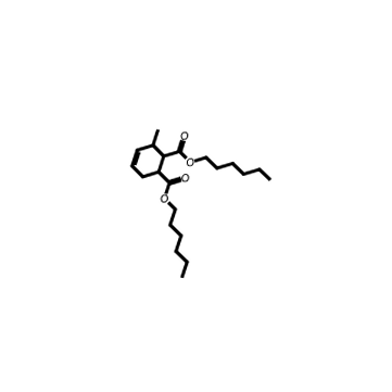 CCCCCCOC(=O)C1CC=CC(C)C1C(=O)OCCCCCC